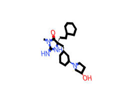 CN1C(=N)N[C@](CCC2CCCCC2)(C[C@H]2CCC[C@H](N3CC[C@H](O)C3)C2)C1=O